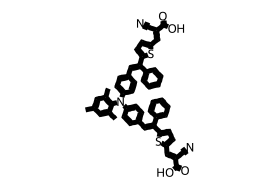 Cc1cc(C)c(N(c2ccc(/C=C(\c3ccccc3)c3ccc(/C=C(\C#N)C(=O)O)s3)cc2)c2ccc(/C=C(\c3ccccc3)c3ccc(/C=C(\C#N)C(=O)O)s3)cc2)c(C)c1